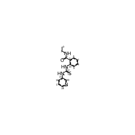 CCNC(=O)c1ccccc1NC(=S)Nc1cccnc1